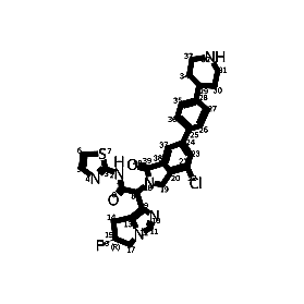 O=C(Nc1nccs1)C(c1ncn2c1C[C@@H](F)C2)N1Cc2c(Cl)cc(-c3ccc(C4CCNCC4)cc3)cc2C1=O